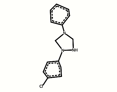 Clc1ccc(N2CN(c3ccccc3)CN2)cc1